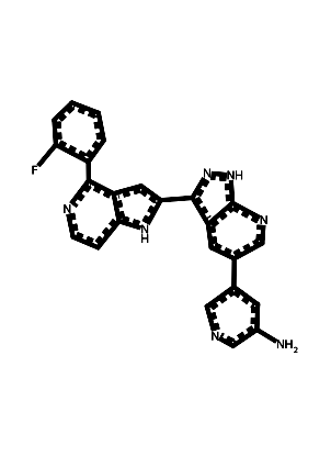 Nc1cncc(-c2cnc3[nH]nc(-c4cc5c(-c6ccccc6F)nccc5[nH]4)c3c2)c1